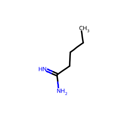 CCCCC(=N)N